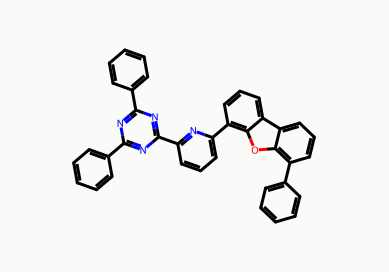 c1ccc(-c2nc(-c3ccccc3)nc(-c3cccc(-c4cccc5c4oc4c(-c6ccccc6)cccc45)n3)n2)cc1